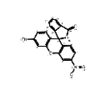 Nc1ccc2c(c1)Oc1cc([N+](=O)[O-])ccc1C21OC(=O)c2ccccc21